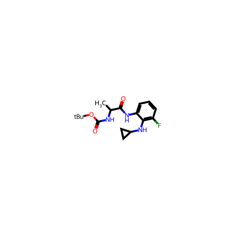 CC(NC(=O)OC(C)(C)C)C(=O)Nc1cccc(F)c1NC1CC1